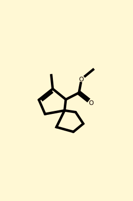 COC(=O)C1C(C)=CCC12CCCC2